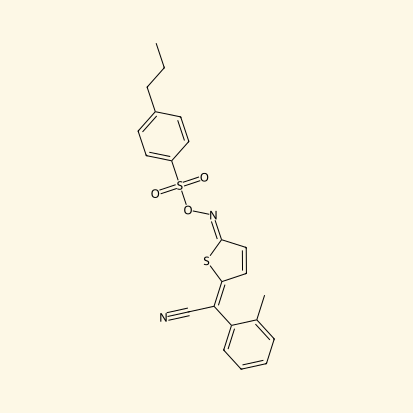 CCCc1ccc(S(=O)(=O)ON=C2C=C/C(=C(/C#N)c3ccccc3C)S2)cc1